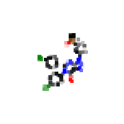 C[S+]([O-])c1cccc(-n2cnc3c(=O)n(-c4ccc(Cl)cc4)c(-c4ccc(Br)cc4)nc32)c1